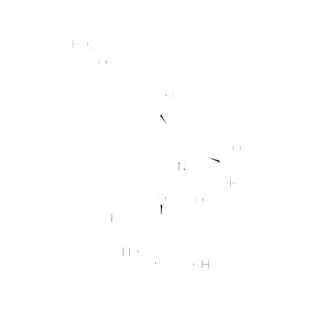 COc1cccc(OC[C@H]2C[C@@H](C(=O)O)N(C(=O)O[C@@H](OC(C)=O)C(C)C)C2)c1